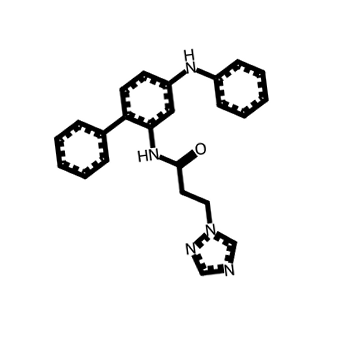 O=C(CCn1cncn1)Nc1cc(Nc2ccccc2)ccc1-c1ccccc1